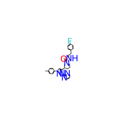 Cc1ccc(-c2cc(C3CCCN(C(=O)NCCc4ccc(F)cc4)C3)n(-c3ncccn3)n2)cc1